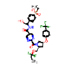 CCC(F)(F)OC[C@@H]1C[C@@H](Oc2ccc(C(F)(F)F)cc2)CN1C(=O)c1ncc(C(=O)NC(CO)c2ccc(S(=O)(=O)CC)cc2)cn1